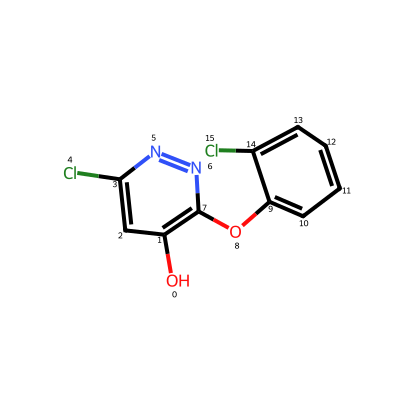 Oc1cc(Cl)nnc1Oc1ccccc1Cl